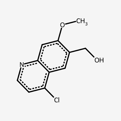 COc1cc2nccc(Cl)c2cc1CO